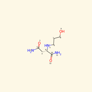 NC(=O)C[C@H](NCCCO)C(N)=O